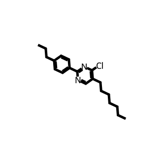 CCCCCCCc1cnc(-c2ccc(CCC)cc2)nc1Cl